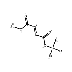 CC[Si](CC)(CC)OC(=O)N=NC(=O)OC(C)(C)C